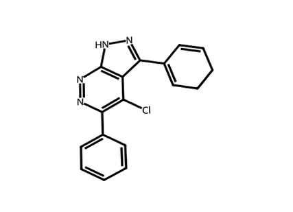 Clc1c(-c2ccccc2)nnc2[nH]nc(C3=CCCC=C3)c12